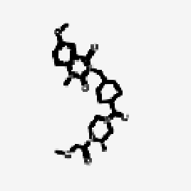 COCC(=O)N1CCN(C(=O)C2CCC(Cn3c(=O)c4cc(OC)ccc4n(C)c3=O)CC2)C[C@H]1C